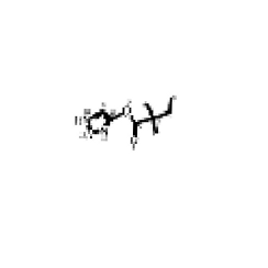 CCC(C)(C)C(=O)Oc1c[nH]nn1